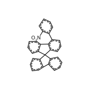 O=[N+]([O-])c1ccccc1-c1cccc2c1-c1ccccc1C21c2ccccc2-c2ccccc21